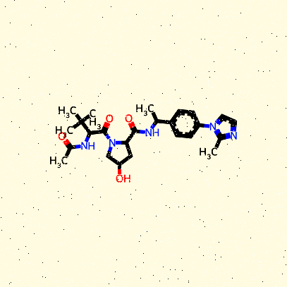 CC(=O)NC(C(=O)N1CC(O)CC1C(=O)NC(C)c1ccc(-n2ccnc2C)cc1)C(C)(C)C